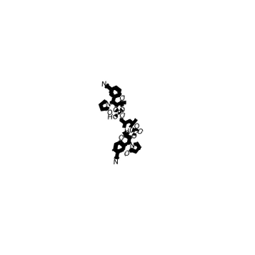 CC(COP(=O)(O)OC1C(N2CCCC2=O)c2cc(C#N)ccc2OC1(C)C)CC(C)(C)OP(=O)(O)OC1C(N2CCCC2=O)c2cc(C#N)ccc2OC1(C)C